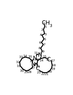 CCCCCCCCCCN1CN2C3C1CCCCCCCCCCC3N1CCCCCCCCCC12